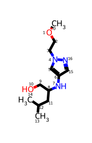 COCCn1cc(NC(CO)CC(C)C)cn1